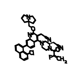 C=C(F)C(=O)N1CCN(C2=C(CC#N)C(OCC34CCCN3CCC4)=NC3C=C(c4cccc5cccc(Cl)c45)C=CC23)C[C@@H]1CC#N